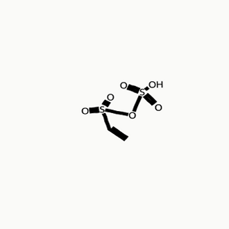 C=CS(=O)(=O)OS(=O)(=O)O